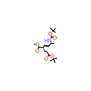 COC(=O)[C@@H](C=CC(C)NC(=O)OC(C)(C)C)CCC(=O)OC(C)(C)C